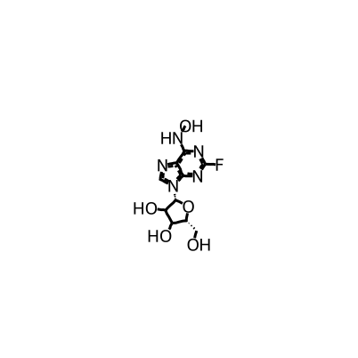 OC[C@H]1O[C@@H](n2cnc3c(NO)nc(F)nc32)C(O)C1O